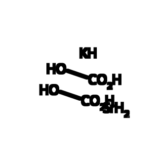 O=C(O)O.O=C(O)O.[KH].[SrH2]